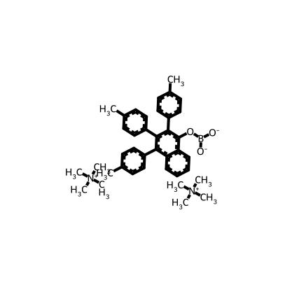 C[N+](C)(C)C.C[N+](C)(C)C.Cc1ccc(-c2c(-c3ccc(C)cc3)c(-c3ccc(C)cc3)c3ccccc3c2OB([O-])[O-])cc1